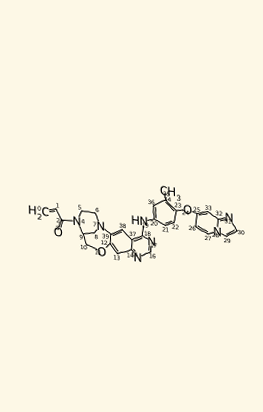 C=CC(=O)N1CCN2CC1COc1cc3ncnc(Nc4ccc(Oc5ccn6ccnc6c5)c(C)c4)c3cc12